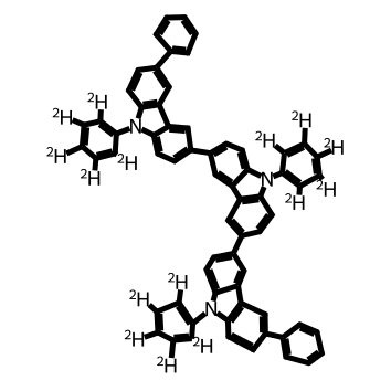 [2H]c1c([2H])c([2H])c(-n2c3ccc(-c4ccccc4)cc3c3cc(-c4ccc5c(c4)c4cc(-c6ccc7c(c6)c6cc(-c8ccccc8)ccc6n7-c6c([2H])c([2H])c([2H])c([2H])c6[2H])ccc4n5-c4c([2H])c([2H])c([2H])c([2H])c4[2H])ccc32)c([2H])c1[2H]